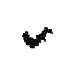 COc1nc(-c2ccnc(-c3cccc(NC(=O)c4ncc(CNC5CCN(C(C)=O)CC5)n4C)c3C)c2Cl)ccc1CNC[C@@H]1CCC(=O)N1